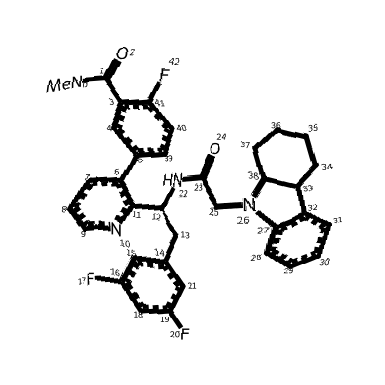 CNC(=O)c1cc(-c2cccnc2[C@H](Cc2cc(F)cc(F)c2)NC(=O)CN2c3ccccc3C3CCCCC32)ccc1F